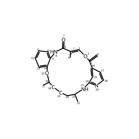 C=C1O/C=C(\C)C(=O)Nc2ccccc2OC(C)CCCC(C)Nc2cc1ccn2